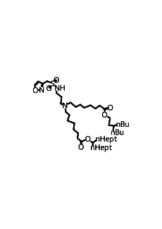 CCCCCCCC(CCCCCCC)OC(=O)CCCCCCCN(CCCCCCCC(=O)OCCC(CCCC)CCCC)CCCNS(=O)(=O)Cc1ccon1